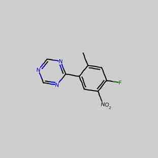 Cc1cc(F)c([N+](=O)[O-])cc1-c1ncncn1